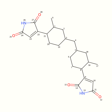 CC1CC(CC2CCC(C3=CC(=O)NC3=O)C(C)C2)CCC1C1=CC(=O)NC1=O